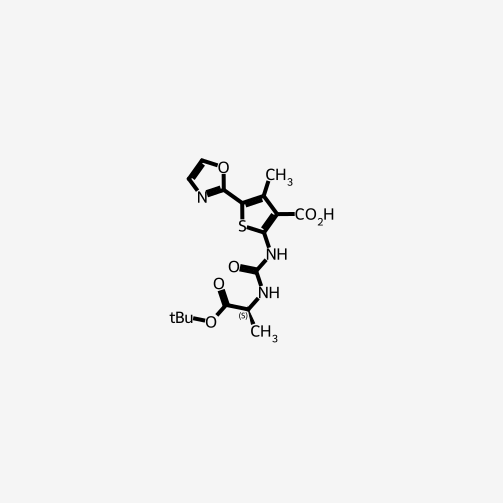 Cc1c(-c2ncco2)sc(NC(=O)N[C@@H](C)C(=O)OC(C)(C)C)c1C(=O)O